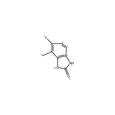 Cc1c(F)ccc2[nH]c(=O)oc12